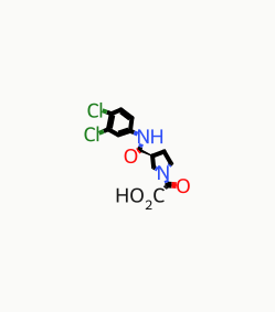 O=C(O)C(=O)N1CC[C@H](C(=O)Nc2ccc(Cl)c(Cl)c2)C1